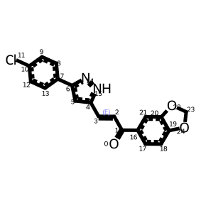 O=C(/C=C/c1cc(-c2ccc(Cl)cc2)n[nH]1)c1ccc2c(c1)OCO2